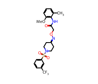 COc1cccc(C)c1NC(=O)CON=C1CCN(S(=O)(=O)c2cccc(C(F)(F)F)c2)CC1